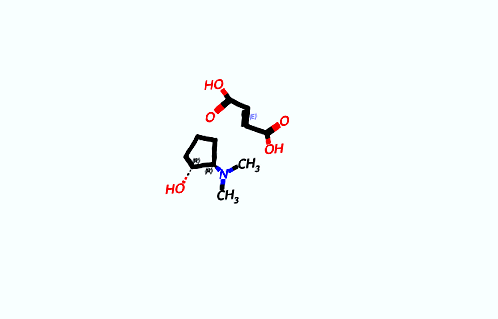 CN(C)[C@@H]1CCC[C@H]1O.O=C(O)/C=C/C(=O)O